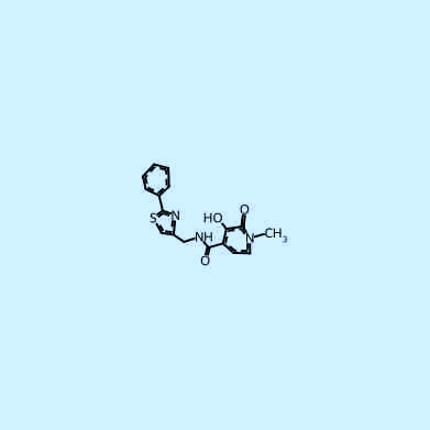 Cn1ccc(C(=O)NCc2csc(-c3ccccc3)n2)c(O)c1=O